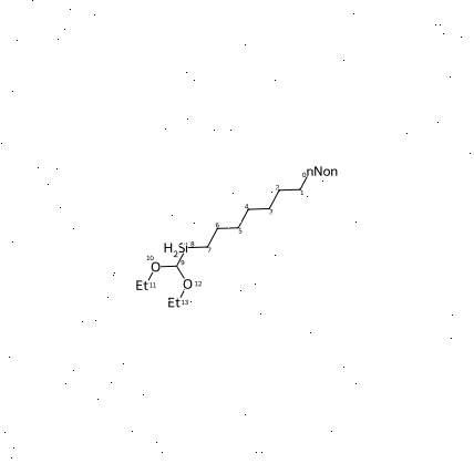 CCCCCCCCCCCCCCCC[SiH2]C(OCC)OCC